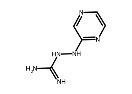 N=C(N)NNc1cnccn1